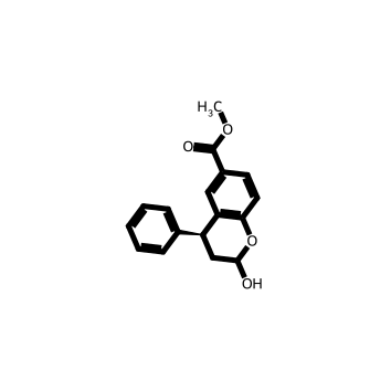 COC(=O)c1ccc2c(c1)[C@H](c1ccccc1)CC(O)O2